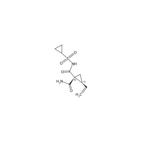 C=C[C@@H]1C[C@@]1(C(N)=O)C(=O)NS(=O)(=O)C1CC1